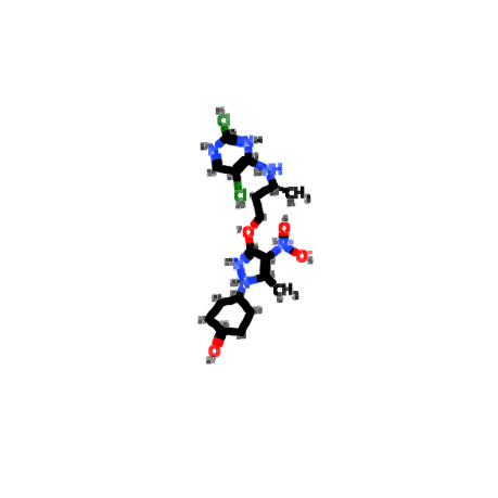 Cc1c([N+](=O)[O-])c(OCC[C@@H](C)Nc2nc(Cl)ncc2Cl)nn1C1CCC(=O)CC1